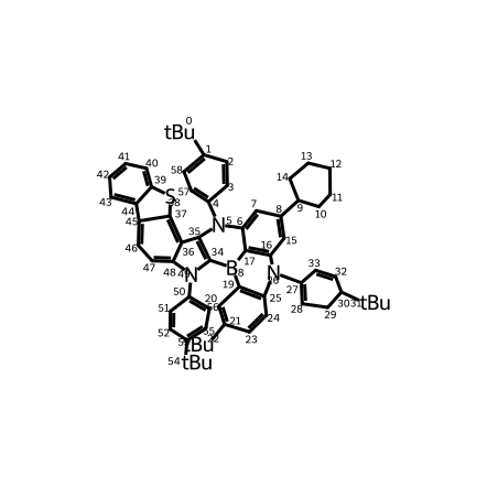 CC(C)(C)c1ccc(N2c3cc(C4CCCCC4)cc4c3B(c3cc(C(C)(C)C)ccc3N4C3=CCC(C(C)(C)C)C=C3)c3c2c2c4sc5ccccc5c4ccc2n3-c2ccc(C(C)(C)C)cc2)cc1